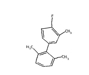 Cc1cc(-c2c(C)cccc2C)ccc1F